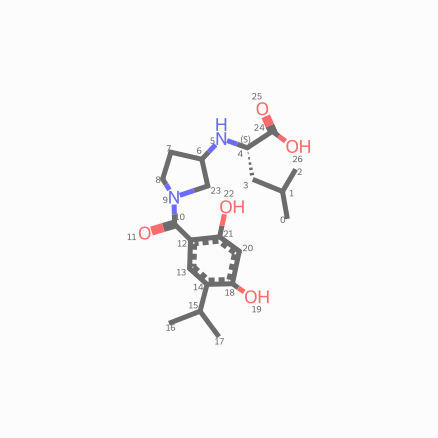 CC(C)C[C@H](NC1CCN(C(=O)c2cc(C(C)C)c(O)cc2O)C1)C(=O)O